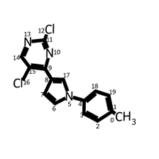 Cc1ccc(-n2ccc(-c3nc(Cl)ncc3Cl)c2)cc1